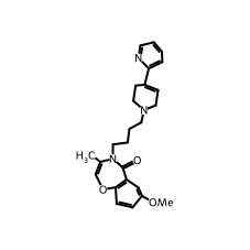 COc1ccc2c(c1)C(=O)N(CCCCN1CC=C(c3ccccn3)CC1)C(C)=CO2